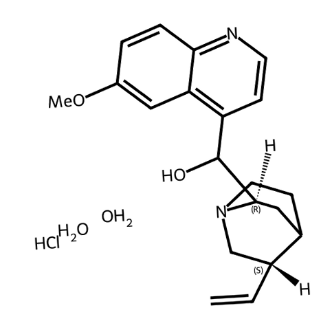 C=C[C@@H]1CN2CCC1C[C@@H]2C(O)c1ccnc2ccc(OC)cc12.Cl.O.O